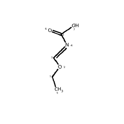 CCOC=NC(=O)O